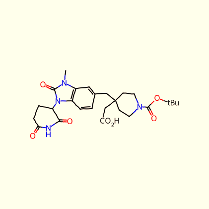 Cn1c(=O)n(C2CCC(=O)NC2=O)c2ccc(CC3(CC(=O)O)CCN(C(=O)OC(C)(C)C)CC3)cc21